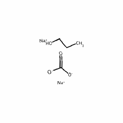 CCCO.O=C([O-])[O-].[Na+].[Na+]